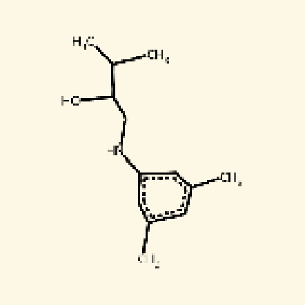 Cc1cc(C)cc(NCC(O)C(C)C)c1